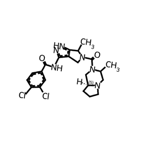 CC1CN2CCC[C@H]2CN1C(=O)N1Cc2c(NC(=O)c3ccc(Cl)c(Cl)c3)n[nH]c2C1C